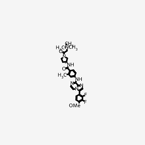 COc1ccc(-c2cnc3c(Nc4ccc(C(=O)N[C@@H]5CCN(C(=O)C[N+](C)(C)C)C5)c(C)c4)nccn23)c(F)c1F